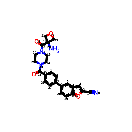 N#Cc1cc2cc(-c3ccc(C(=O)N4CCN(C(=O)C5(N)COC5)CC4)cc3)ccc2o1